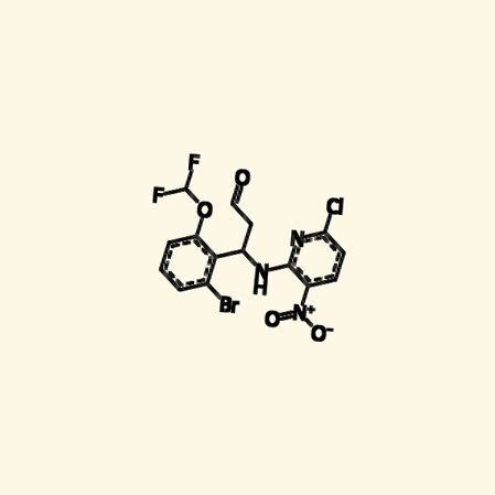 O=CCC(Nc1nc(Cl)ccc1[N+](=O)[O-])c1c(Br)cccc1OC(F)F